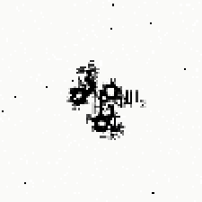 N[C@]1(NC(=O)Cc2cc(F)ccc2C(F)(F)F)CCCC(Nc2cc(C(F)(F)F)nc3ccccc23)C1